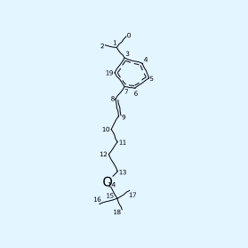 CC(C)c1cccc(/C=C/CCCCOC(C)(C)C)c1